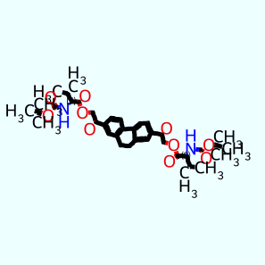 CC(C)[C@H](NC(=O)OC(C)(C)C)C(=O)OCC(=O)c1ccc2c(c1)CCc1cc(C(=O)COC(=O)[C@@H](NC(=O)OC(C)(C)C)C(C)C)ccc1-2